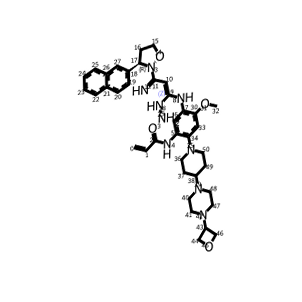 C=CC(=O)Nc1cc(N/C(=C/C(=N)N2OCC[C@@H]2c2ccc3ccccc3c2)NN)c(OC)cc1N1CCC(N2CCN(C3COC3)CC2)CC1